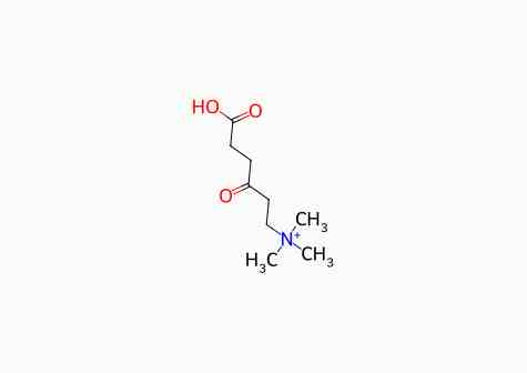 C[N+](C)(C)CCC(=O)CCC(=O)O